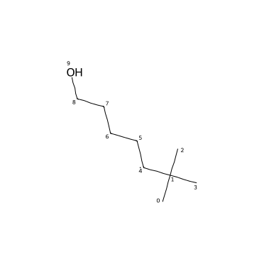 CC(C)(C)[CH]CCCCO